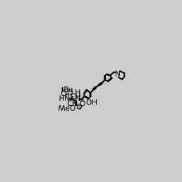 COC(=O)[C@@H](NC(=O)c1ccc(C#CC#Cc2ccc(CN3CCCCC3)cc2)cc1O)C(C)(C)NC(=O)OC(C)(C)C